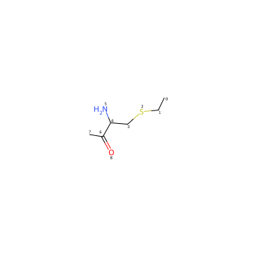 CCSCC(N)C(C)=O